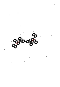 Cc1cc(-c2ccc(N(c3ccc(-c4cccc5ccccc45)cc3)c3ccccc3-c3cccc4ccccc34)c(C)c2)ccc1N(c1ccc(-c2cccc3ccccc23)cc1)c1ccccc1-c1cccc2ccccc12